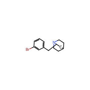 Brc1cccc(CC2CC3CCN2CC3)c1